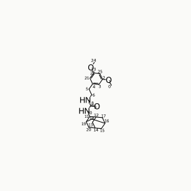 COc1cc(CCNC(=O)NC2C3CC4CC(C3)CC2C4)cc(OC)c1